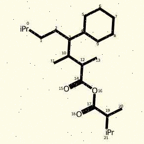 CC(C)CCC(C1CCCCC1)C(C)C(C)C(=O)OC(=O)C(C)C(C)C